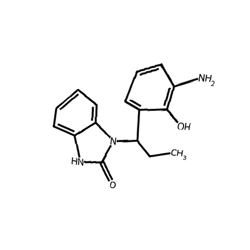 CCC(c1cccc(N)c1O)n1c(=O)[nH]c2ccccc21